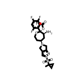 CC1(S(=O)(=O)n2cc3c(n2)CN([C@H]2CCO[C@@](OC(=O)C(F)(F)F)(c4cc(F)c(F)cc4F)[C@@H](N)C2)C3)CC1